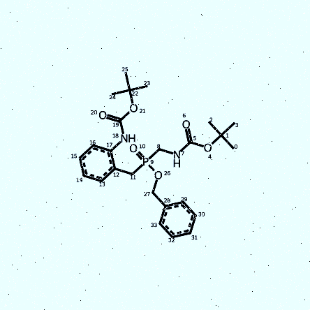 CC(C)(C)OC(=O)NCP(=O)(Cc1ccccc1NC(=O)OC(C)(C)C)OCc1ccccc1